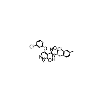 Cc1ccc(C[C@@H]2CON=C(c3c(Oc4cccc(Cl)c4)cnn(C)c3=O)N2)c(Cl)c1